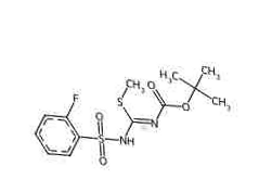 CS/C(=N\C(=O)OC(C)(C)C)NS(=O)(=O)c1ccccc1F